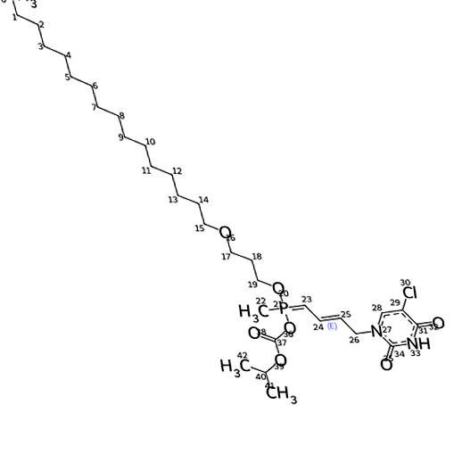 CCCCCCCCCCCCCCCCOCCCOP(C)(=C/C=C/Cn1cc(Cl)c(=O)[nH]c1=O)OC(=O)OC(C)C